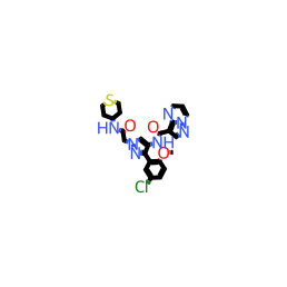 COc1ccc(Cl)cc1-c1nn(CC(=O)NC2CCSCC2)cc1NC(=O)c1cnn2cccnc12